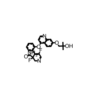 CC(C)(O)COc1ccc2c(Oc3ccccc3C3=C(F)C=NCC3(F)C(N)=O)ccnc2c1